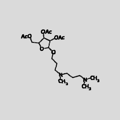 CC(=O)OCC1OC(OCCCN(C)CCCN(C)C)C(OC(C)=O)C1OC(C)=O